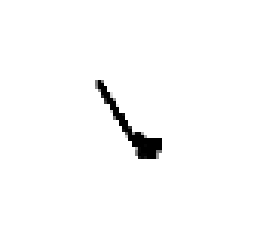 CCCCCCCCCCCCCCCCc1ccc(NC(=O)C2(C#N)CC2)cc1